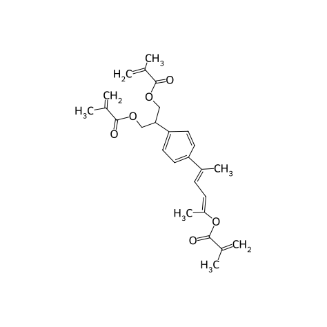 C=C(C)C(=O)OCC(COC(=O)C(=C)C)c1ccc(/C(C)=C/C=C(\C)OC(=O)C(=C)C)cc1